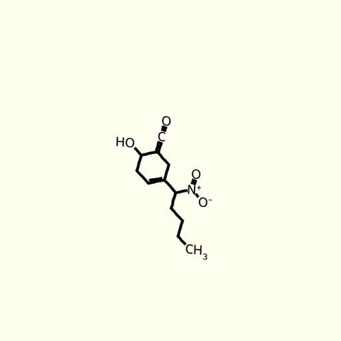 CCCCC(C1=CCC(O)C(=C=O)C1)[N+](=O)[O-]